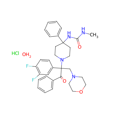 CNC(=O)NC1(c2ccccc2)CCN(C(CN2CCOCC2)(C(=O)c2ccccc2)c2ccc(F)c(F)c2)CC1.Cl.O